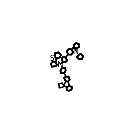 c1ccc(-n2c3ccccc3c3ccc(-c4ccc(N(c5ccc(-c6ccc7c(c6)C6(CCCC6)c6ccccc6-7)cc5)c5cccc6sc7ccccc7c56)cc4)cc32)cc1